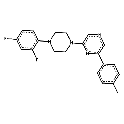 Cc1ccc(-c2cncc(N3CCN(c4ccc(F)cc4F)CC3)n2)cc1